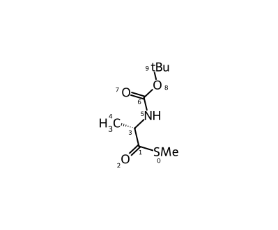 CSC(=O)[C@H](C)NC(=O)OC(C)(C)C